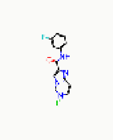 O=C(Nc1cccc(F)c1)C1=C[N+]2CN(Cl)C=CC2=N1